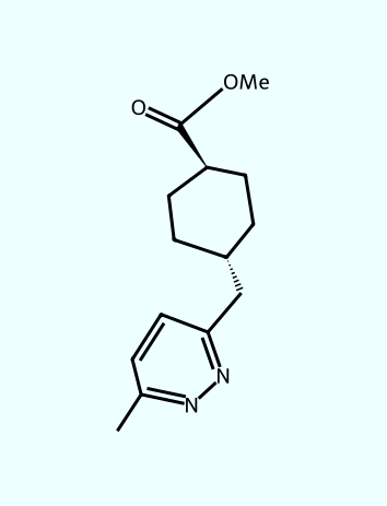 COC(=O)[C@H]1CC[C@H](Cc2ccc(C)nn2)CC1